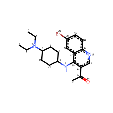 CCN(CC)C1CCC(Nc2c(C(C)=O)cnc3ccc(Br)cc23)CC1